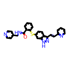 O=C(NCc1ccncc1)c1ccccc1Sc1ccc2c(/C=C/c3ccccn3)n[nH]c2c1